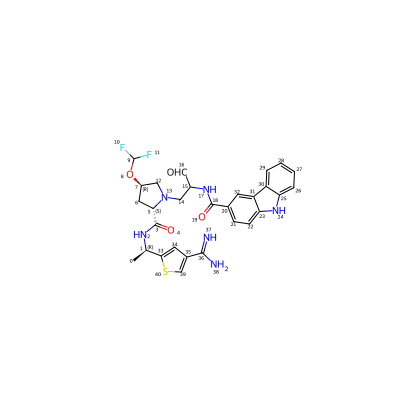 C[C@@H](NC(=O)[C@@H]1C[C@@H](OC(F)F)CN1CC(C=O)NC(=O)c1ccc2[nH]c3ccccc3c2c1)c1cc(C(=N)N)cs1